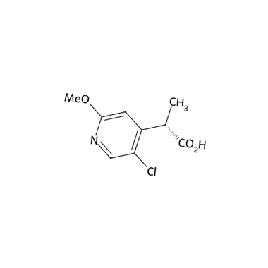 COc1cc([C@H](C)C(=O)O)c(Cl)cn1